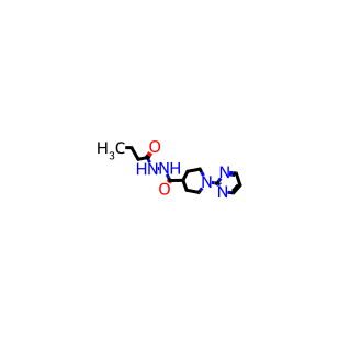 CCCC(=O)NNC(=O)C1CCN(c2ncccn2)CC1